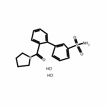 Cl.Cl.NS(=O)(=O)c1cccc(-c2ccccc2C(=O)N2CCCC2)c1